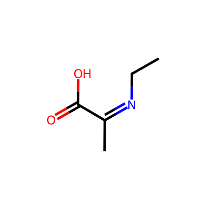 CC/N=C(/C)C(=O)O